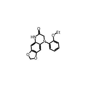 CCOc1ccccc1N1CC(=O)Nc2cc3c(cc21)OCO3